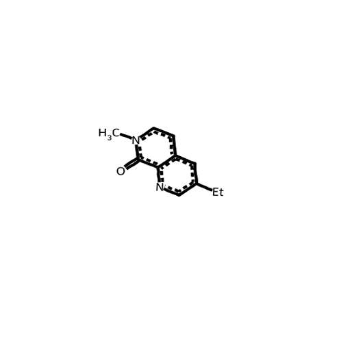 CCc1cnc2c(=O)n(C)ccc2c1